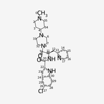 CN1CCC(N2CCN(C(=O)[C@@H](Cc3ccccn3)NC(=O)c3cc4cc(Cl)ccc4[nH]3)CC2)CC1